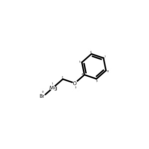 [Br][Mg][CH2]Oc1ccccc1